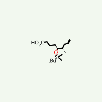 C=CC[C@H](C)[C@H](CCCC(=O)O)O[Si](C)(C)C(C)(C)C